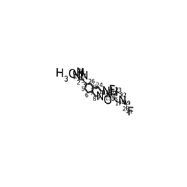 Cn1cc(-c2ccc3cnc(NC(=O)C4(F)CCN(CCF)CC4)cc3c2)nn1